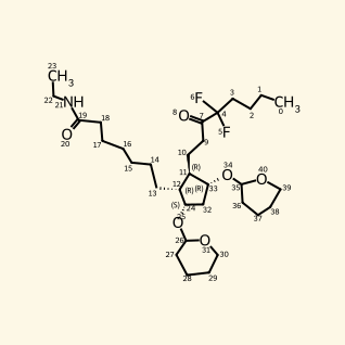 CCCCC(F)(F)C(=O)CC[C@@H]1[C@@H](CCCCCCC(=O)NCC)[C@@H](OC2CCCCO2)C[C@H]1OC1CCCCO1